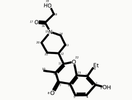 CCc1c(O)ccc2c(=O)c(C)c(C3CCN(C(=O)CO)CC3)oc12